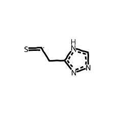 S=[C]Cc1nnc[nH]1